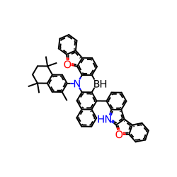 Cc1cc2c(cc1N1c3cc4ccccc4c(-c4cccc5c4[nH]c4oc6ccccc6c45)c3Bc3ccc4c(oc5ccccc54)c31)C(C)(C)CCC2(C)C